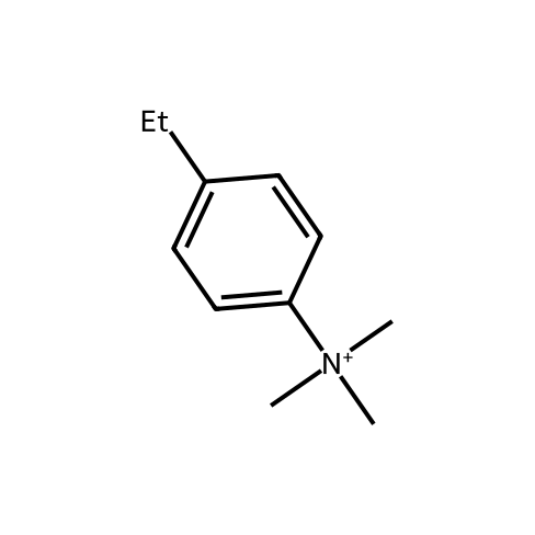 CCc1ccc([N+](C)(C)C)cc1